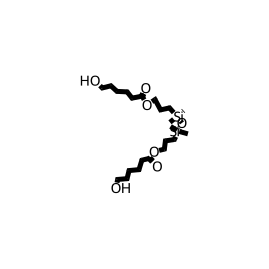 C[Si](C)(CCCOC(=O)CCCCCO)O[Si](C)(C)CCCOC(=O)CCCCCO